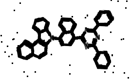 c1ccc(-c2nc(-c3ccccc3)nc(-c3ccc(-n4c5ccccc5c5c6ccccc6ccc54)c4ccccc34)n2)cc1